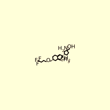 C=C(/C=C1/CC[C@H](COCCCC(F)(F)F)C/C1=C/C)[C@H]1CC[C@](N)(CO)C1